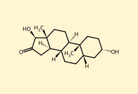 C[C@@]12CC[C@@H]3[C@H](CC[C@H]4C[C@@H](O)CC[C@]43C)[C@H]1CC(=O)[C@H]2O